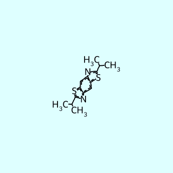 CC(C)c1nc2cc3sc(C(C)C)nc3cc2s1